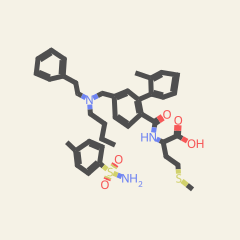 CCCCN(CCc1ccccc1)Cc1ccc(C(=O)NC(CCSC)C(=O)O)c(-c2ccccc2C)c1.Cc1ccc(S(N)(=O)=O)cc1